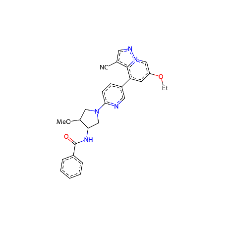 CCOc1cc(-c2ccc(N3CC(NC(=O)c4ccccc4)C(OC)C3)nc2)c2c(C#N)cnn2c1